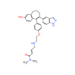 CN(C)C(=O)/C=C/CNCCOc1ccc(C2=C(c3ccc4[nH]ncc4c3)CCCc3cc(O)ccc32)cc1